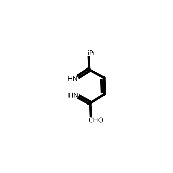 CC(C)C(=N)/C=C\C(=N)C=O